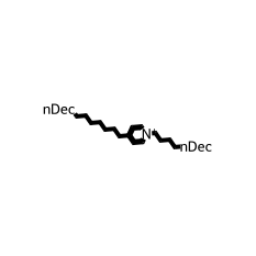 CCCCCCCCCCCCCCCCCc1cc[n+](CCCCCCCCCCCCCC)cc1